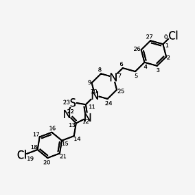 Clc1ccc(CCN2CCN(c3nc(Cc4ccc(Cl)cc4)ns3)CC2)cc1